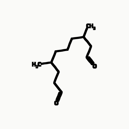 CC(CC=O)CCCC(C)CCC=O